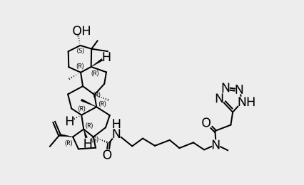 C=C(C)[C@@H]1CC[C@]2(C(=O)NCCCCCCCN(C)C(=O)Cc3nnn[nH]3)CC[C@]3(C)[C@H](CCC4[C@@]5(C)CC[C@H](O)C(C)(C)[C@@H]5CC[C@]43C)[C@@H]12